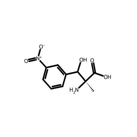 C[C@@](N)(C(=O)O)C(O)c1cccc([N+](=O)[O-])c1